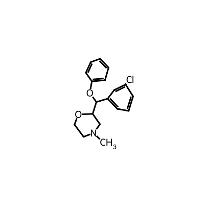 CN1CCOC(C(Oc2ccccc2)c2cccc(Cl)c2)C1